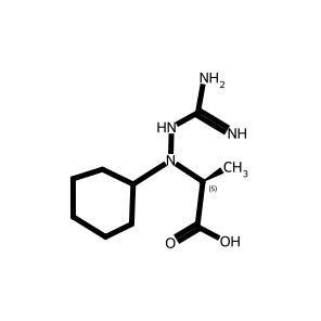 C[C@@H](C(=O)O)N(NC(=N)N)C1CCCCC1